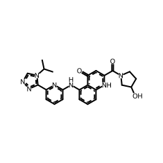 CC(C)n1cnnc1-c1cccc(Nc2cccc3[nH]c(C(=O)N4CCC(O)C4)cc(=O)c23)n1